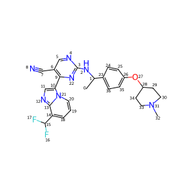 CC(Nc1ncc(C#N)c(-c2cnc3c(C(F)F)cccn23)n1)c1ccc(OC2CCN(C)CC2)cc1